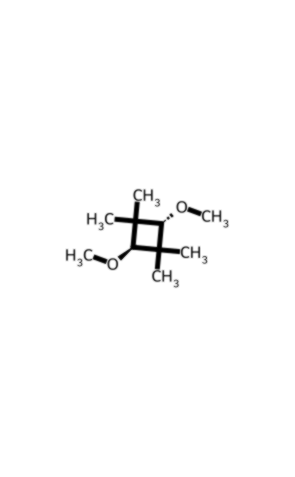 CO[C@H]1C(C)(C)[C@H](OC)C1(C)C